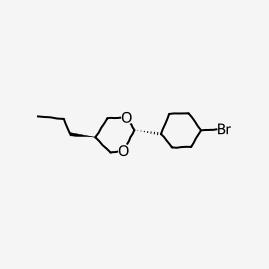 CCC[C@H]1CO[C@H](C2CCC(Br)CC2)OC1